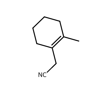 CC1=C(CC#N)CCCC1